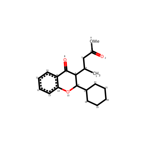 COC(=O)CC(C)C1C(=O)c2ccccc2OC1C1CCCCC1